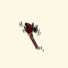 COCCOCCOCCOCCOCCOCCOCCOCCOCCOCCOCCOCCn1cc([C@@H](CC(O)N[C@H](C(=O)N[C@@H](CCCNC(N)=O)C(=O)Nc2ccc(COC(=O)C(C)(C)C)cc2)C(C)C)N2C(=O)C=CC2=O)nn1